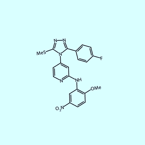 COc1ccc([N+](=O)[O-])cc1Nc1cc(-n2c(SC)nnc2-c2ccc(F)cc2)ccn1